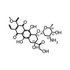 C=CC1=C(C(=C)OC)C(=O)c2c(O)c3c(c(O)c2C1=O)C[C@@](O)(C(=O)CO)C[C@@H]3O[C@H]1C[C@H](N)[C@H](O)[C@H](C)O1